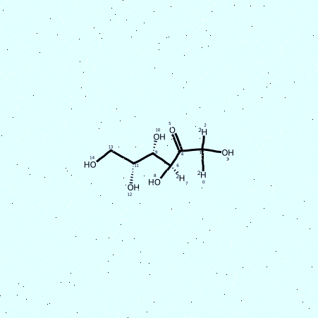 [2H]C([2H])(O)C(=O)[C@@]([2H])(O)[C@@H](O)[C@H](O)CO